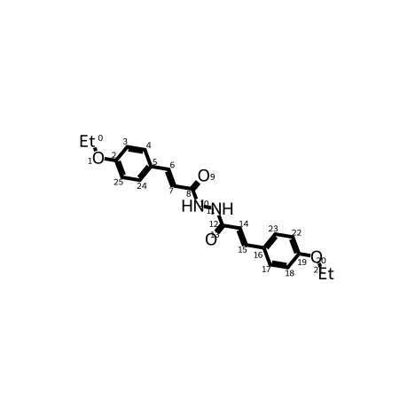 CCOc1ccc(/C=C/C(=O)NNC(=O)/C=C/c2ccc(OCC)cc2)cc1